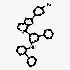 CC(C)(C)c1ccc(-c2cc3ccnc(-c4cc(Nc5ccccc5-c5ccccc5)cc(-c5ccccc5)c4)c3s2)cc1